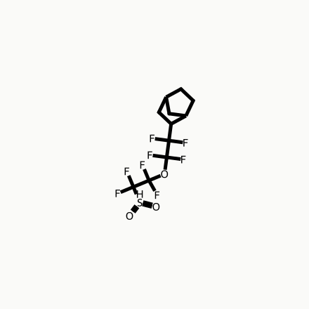 O=[SH](=O)C(F)(F)C(F)(F)OC(F)(F)C(F)(F)C1CC2CCC1C2